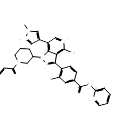 C=CC(=O)N1CCCC(n2nc(-c3ccc(C(=O)Nc4ccccn4)cc3Cl)c3c(N)ncc(-c4cnn(C)c4)c32)C1